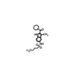 CCCCS(=O)(=O)Nc1ccc2[nH]c(C(=O)N3CCCCC3)c(C)c2c1